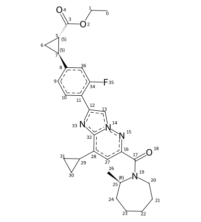 CCOC(=O)[C@H]1C[C@@H]1c1ccc(-c2cn3nc(C(=O)N4CCCCC[C@H]4C)cc(C4CC4)c3n2)c(F)c1